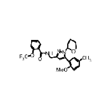 COc1ccc(C)cc1-c1cc(CNC(=O)c2ccccc2OC(F)(F)F)nn1C1CCCCO1